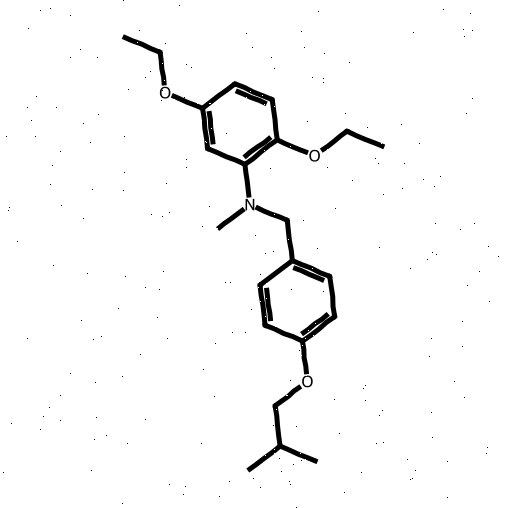 CCOc1ccc(OCC)c(N(C)Cc2ccc(OCC(C)C)cc2)c1